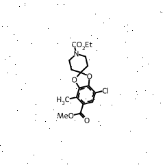 CCOC(=O)N1CCC2(CC1)Oc1c(Cl)cc(C(=O)OC)c(C)c1O2